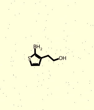 Bc1sccc1CCO